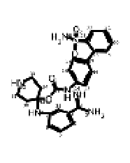 N=C(N)c1cccc(NC2(OC(=O)Nc3ccc(-c4ccccc4S(N)(=O)=O)cc3)CCNCC2)c1